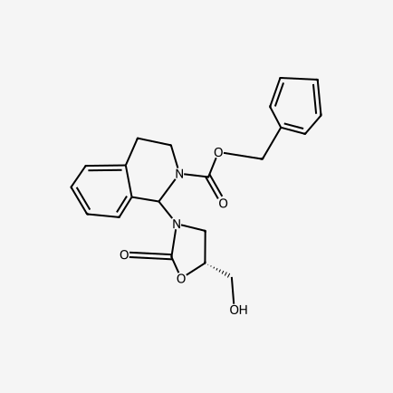 O=C(OCc1ccccc1)N1CCc2ccccc2C1N1C[C@H](CO)OC1=O